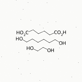 O=C(O)CCCCC(=O)O.OCCCCCCO.OCCO